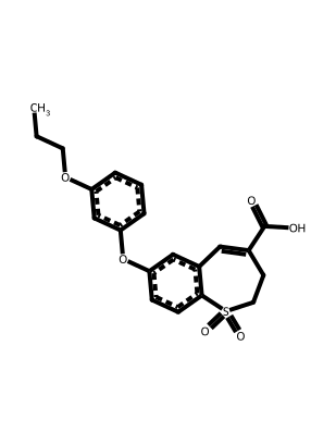 CCCOc1cccc(Oc2ccc3c(c2)C=C(C(=O)O)CCS3(=O)=O)c1